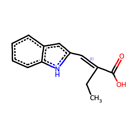 CC/C(=C\c1cc2ccccc2[nH]1)C(=O)O